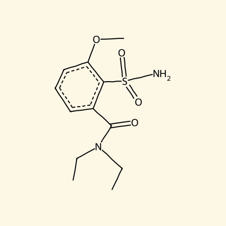 CCN(CC)C(=O)c1cccc(OC)c1S(N)(=O)=O